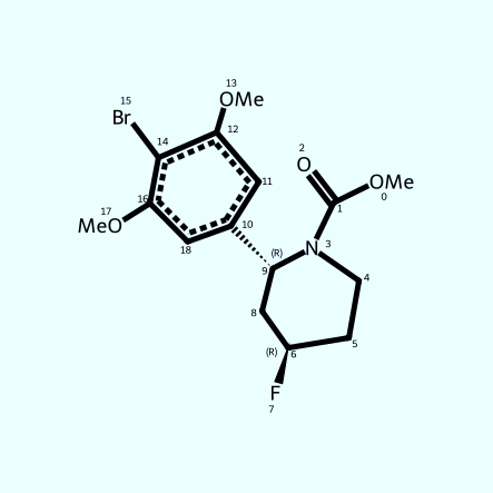 COC(=O)N1CC[C@@H](F)C[C@@H]1c1cc(OC)c(Br)c(OC)c1